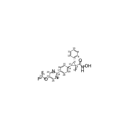 O=C(NO)[C@@]1(F)[C@@H](c2ccccc2)[C@@H]1c1ccc(-c2ncc(OC(F)F)cn2)cc1